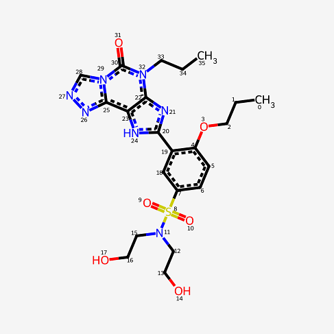 CCCOc1ccc(S(=O)(=O)N(CCO)CCO)cc1-c1nc2c([nH]1)c1nncn1c(=O)n2CCC